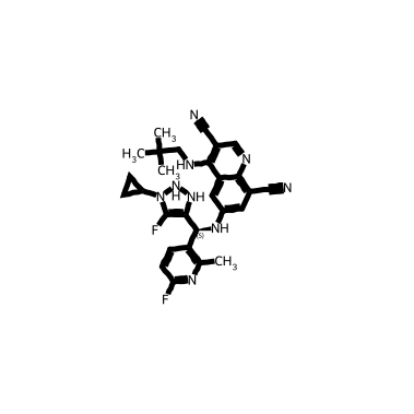 Cc1nc(F)ccc1[C@H](Nc1cc(C#N)c2ncc(C#N)c(NCC(C)(C)C)c2c1)C1=C(F)N(C2CC2)NN1